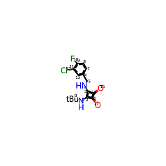 CC(C)(C)Nc1c(NCc2ccc(F)c(Cl)c2)c(=O)c1=O